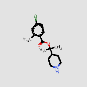 Cc1cc(Cl)ccc1C(=O)OC(C)(C)C1CCNCC1